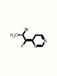 C[C@@H](Br)/C(F)=C1\CC=NC=N1